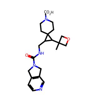 CC1(C2C(CNC(=O)N3Cc4ccncc4C3)C23CCN(C(=O)O)CC3)COC1